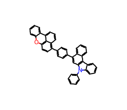 c1ccc(-n2c3ccccc3c3c4ccccc4c(-c4ccc(-c5ccc6c7c(cccc57)-c5ccccc5O6)cc4)cc32)cc1